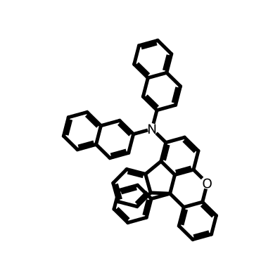 c1ccc(C23c4ccccc4Oc4ccc(N(c5ccc6ccccc6c5)c5ccc6ccccc6c5)c(c42)-c2ccccc23)cc1